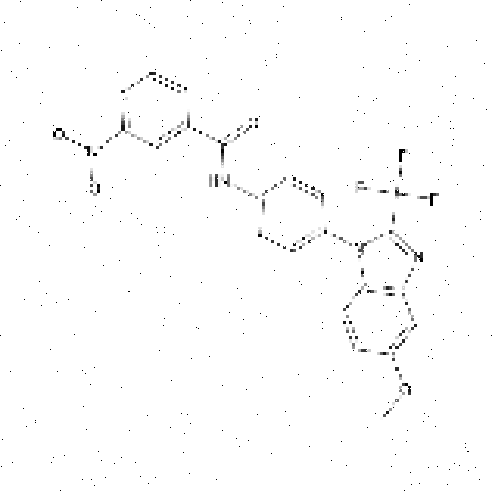 COc1ccc2c(c1)nc(C(F)(F)F)n2-c1ccc(NC(=O)c2cccc([N+](=O)[O-])c2)cc1